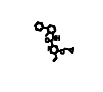 C=Cc1cnc(C(=O)Nc2cccc(-c3ccccc3)c2C)cc1OCC1CC1